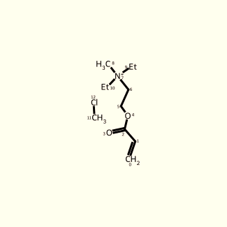 C=CC(=O)OCC[N+](C)(CC)CC.CCl